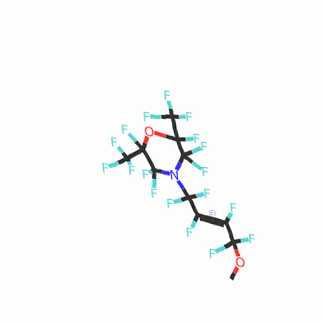 COC(F)(F)/C(F)=C(\F)C(F)(F)N1C(F)(F)C(F)(C(F)(F)F)OC(F)(C(F)(F)F)C1(F)F